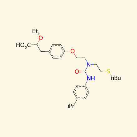 CCCCSCCN(CCOc1ccc(CC(OCC)C(=O)O)cc1)C(=O)Nc1ccc(C(C)C)cc1